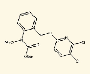 COC(=O)N(OC)c1ccccc1COc1ccc(Cl)c(Cl)n1